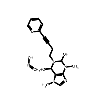 C=NO.CN1c2ncn(C)c2C(O)N(CCC#Cc2ccccn2)C1O